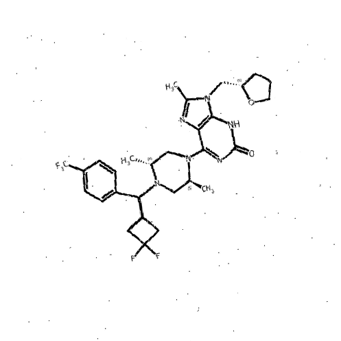 Cc1nc2c(N3C[C@@H](C)N(C(c4ccc(C(F)(F)F)cc4)C4CC(F)(F)C4)C[C@@H]3C)nc(=O)[nH]c2n1C[C@@H]1CCCO1